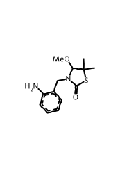 COC1N(Cc2ccccc2N)C(=O)SC1(C)C